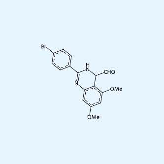 COc1cc2c(c(OC)c1)C(C=O)NC(c1ccc(Br)cc1)=N2